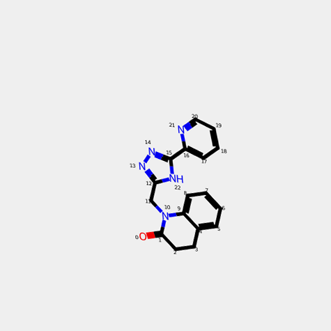 O=C1CCc2ccccc2N1Cc1nnc(-c2ccccn2)[nH]1